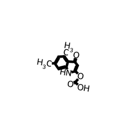 Cc1cc(C)c2c(=O)cc(OC(=O)O)[nH]c2c1